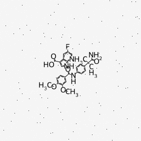 COc1ccc(C(=O)Nc2ccc(C(C)(C)C(N)=O)cc2)cc1OC.O=C(O)c1c[nH]c2ncc(F)cc12